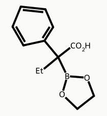 CCC(B1OCCO1)(C(=O)O)c1ccccc1